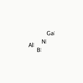 [Al].[B].[Ga].[N]